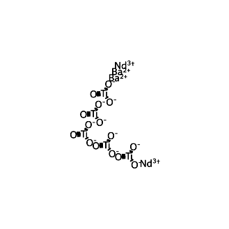 [Ba+2].[Ba+2].[Nd+3].[Nd+3].[O]=[Ti]([O-])[O-].[O]=[Ti]([O-])[O-].[O]=[Ti]([O-])[O-].[O]=[Ti]([O-])[O-].[O]=[Ti]([O-])[O-]